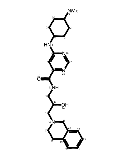 CNC1CCC(Nc2cc(C(=O)NCC(O)CN3CCc4ccccc4C3)ncn2)CC1